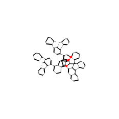 c1ccc2c(c1)-c1ccccc1C21c2ccccc2-c2c1c(-c1c3cccc(-c4ccc5c6ccccc6n6c7ccccc7c4c56)c3cc3c(-c4ccc5c6ccccc6n6c7ccccc7c4c56)cccc13)cc1ccccc21